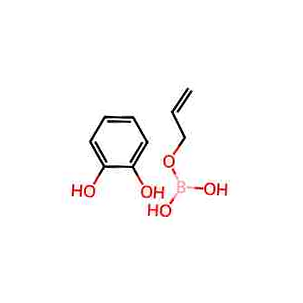 C=CCOB(O)O.Oc1ccccc1O